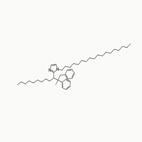 CCCCCCCCCCCCCCCCCCn1ccnc1C(CCCCCCCCC)C(C)(Cc1ccccc1)c1ccccc1